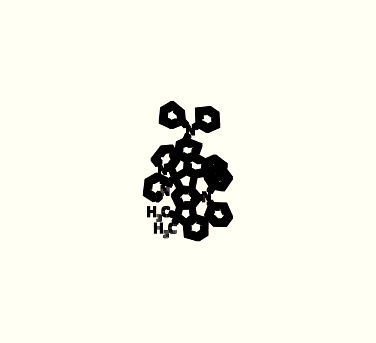 CC1(C)c2ccccc2-c2c1cc1c(c2N(c2ccccc2)c2ccccc2)-c2c(c3ccc(N(c4ccccc4)c4ccccc4)cc3c3ccccc23)C1(c1ccccn1)c1ccccn1